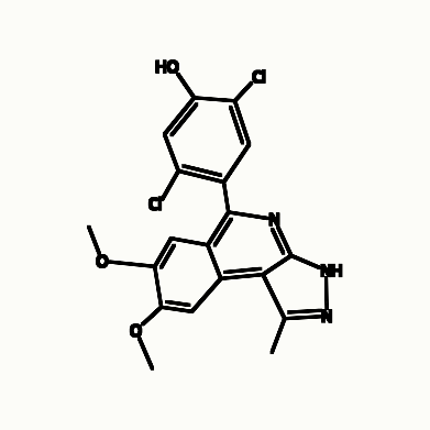 COc1cc2c(-c3cc(Cl)c(O)cc3Cl)nc3[nH]nc(C)c3c2cc1OC